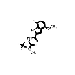 COC(=O)[C@H](CC(F)(F)F)NC(=O)c1cc2c(OC)ccc(F)c2[nH]1